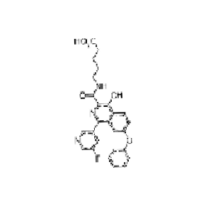 O=C(O)CCCCNC(=O)c1nc(-c2cncc(F)c2)c2cc(Oc3ccccc3)ccc2c1O